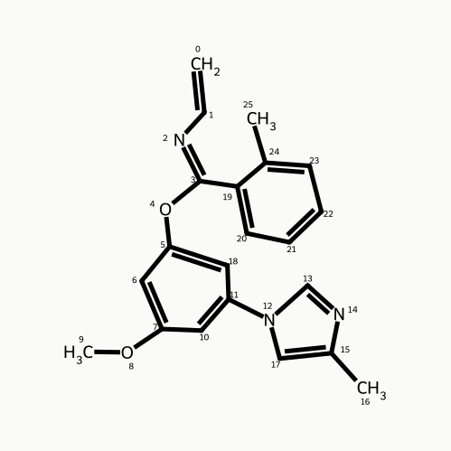 C=C/N=C(/Oc1cc(OC)cc(-n2cnc(C)c2)c1)c1ccccc1C